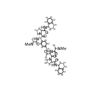 CN[C@@H](C)C(=O)N[C@H](C(=O)N1CCC[C@H]1C(=O)N[C@@H]1CCCc2ccccc21)c1ccc(CO[C@H](C)[C@H](NC(=O)[C@H](C)NC)C(=O)N2CCC[C@H]2C(=O)N[C@@H]2CCCc3ccccc32)cc1